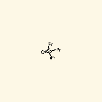 C[CH](C)[Sb](=[O])([CH](C)C)[CH](C)C